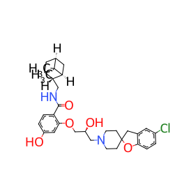 CC1(C)[C@H]2CC[C@@H](CNC(=O)c3ccc(O)cc3OC[C@@H](O)CN3CCC4(CC3)Cc3cc(Cl)ccc3O4)[C@@H]1C2